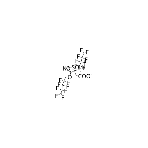 O=C([O-])CC(CC(F)(F)C(F)(F)C(F)(F)C(F)F)(C(=O)OCC(F)(F)C(F)(F)C(F)(F)C(F)F)S(=O)(=O)O.[Na+]